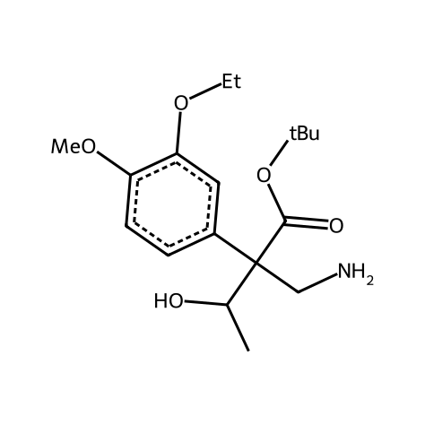 CCOc1cc(C(CN)(C(=O)OC(C)(C)C)C(C)O)ccc1OC